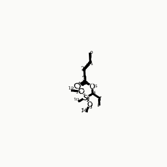 CCCC(=O)OC(CC)[Si](C)(OC)OC